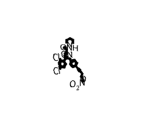 O=C(NN1CCCCC1)c1nc(-c2ccc(C#CCCO[N+](=O)[O-])cc2)c(-c2ccc(Cl)cc2Cl)o1